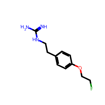 N=C(N)NCCc1ccc(OCCF)cc1